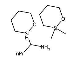 CCCC(N)[SiH]1CCCCO1.C[Si]1(C)CCCCO1